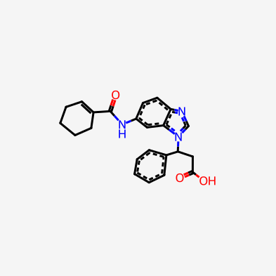 O=C(O)CC(c1ccccc1)n1cnc2ccc(NC(=O)C3=CCCCC3)cc21